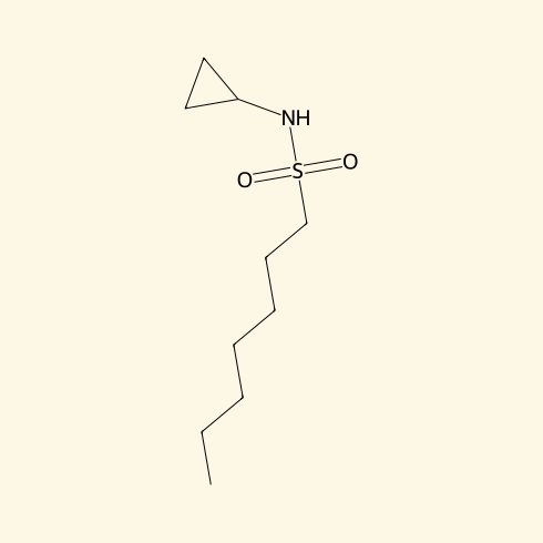 CCCCCCCS(=O)(=O)NC1CC1